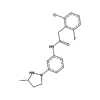 CC1CCN(c2cccc(NC(=O)Cc3c(F)cccc3Cl)c2)N1